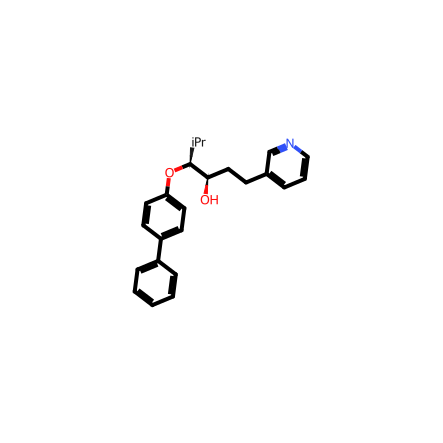 CC(C)[C@H](Oc1ccc(-c2ccccc2)cc1)[C@H](O)CCc1cccnc1